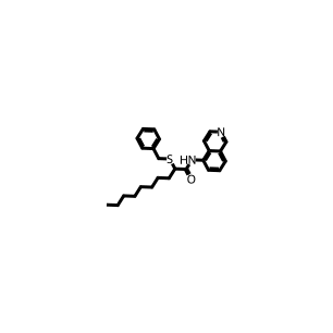 CCCCCCCCC(SCc1ccccc1)C(=O)Nc1cccc2cnccc12